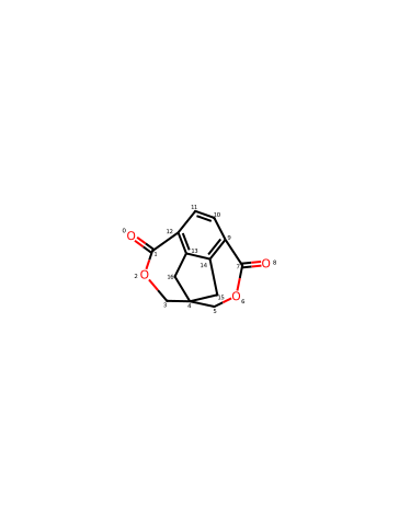 O=C1OCC23COC(=O)c4ccc1c(c4C2)C3